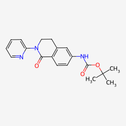 CC(C)(C)OC(=O)Nc1ccc2c(c1)CCN(c1ccccn1)C2=O